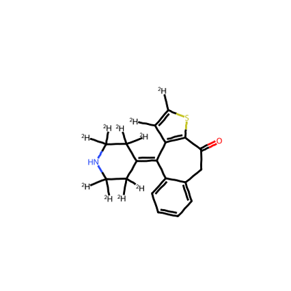 [2H]c1sc2c(c1[2H])C(=C1C([2H])([2H])C([2H])([2H])NC([2H])([2H])C1([2H])[2H])c1ccccc1CC2=O